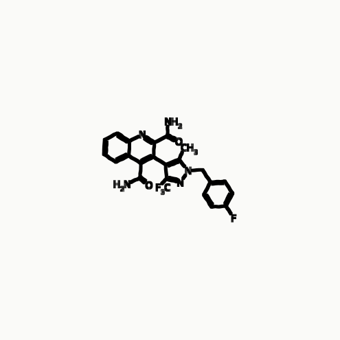 Cc1c(-c2c(C(N)=O)nc3ccccc3c2C(N)=O)c(C(F)(F)F)nn1Cc1ccc(F)cc1